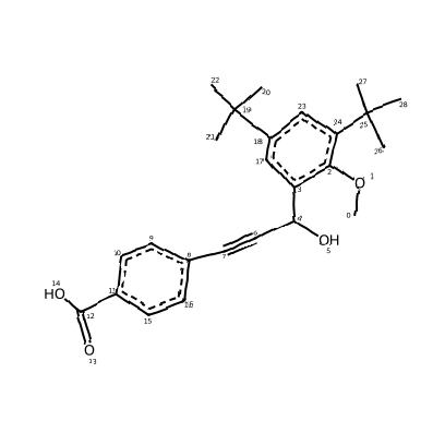 COc1c(C(O)C#Cc2ccc(C(=O)O)cc2)cc(C(C)(C)C)cc1C(C)(C)C